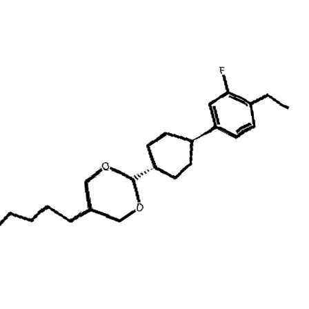 CCCCCC1COC([C@H]2CC[C@H](c3ccc(CC)c(F)c3)CC2)OC1